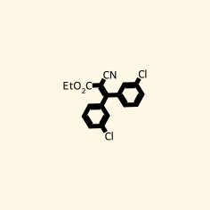 CCOC(=O)C(C#N)=C(c1cccc(Cl)c1)c1cccc(Cl)c1